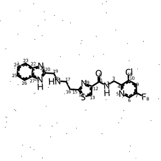 O=C(NCc1ncc(F)cc1Cl)c1csc(CCNCc2nc3ccccc3[nH]2)n1